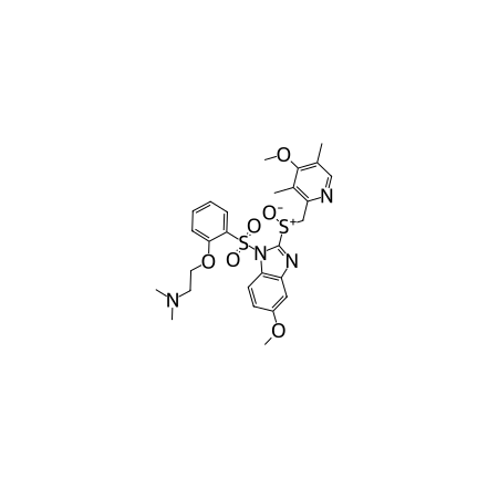 COc1ccc2c(c1)nc([S+]([O-])Cc1ncc(C)c(OC)c1C)n2S(=O)(=O)c1ccccc1OCCN(C)C